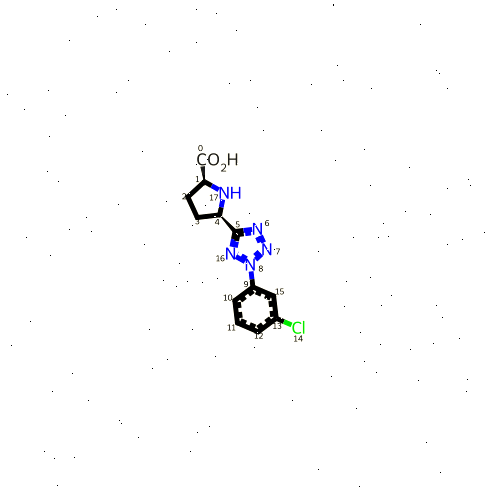 O=C(O)[C@@H]1CC[C@H](c2nnn(-c3cccc(Cl)c3)n2)N1